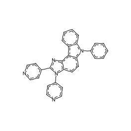 c1ccc(-n2c3ccccc3c3c4nc(-c5ccncc5)n(-c5ccncc5)c4ccc32)cc1